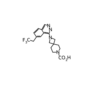 O=C(O)N1CCC2(CC1)CN(c1nncc3ccc(CC(F)(F)F)cc13)C2